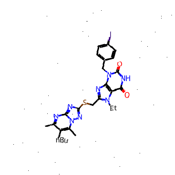 CCCCc1c(C)nc2nc(SCc3nc4c(c(=O)[nH]c(=O)n4Cc4ccc(I)cc4)n3CC)nn2c1C